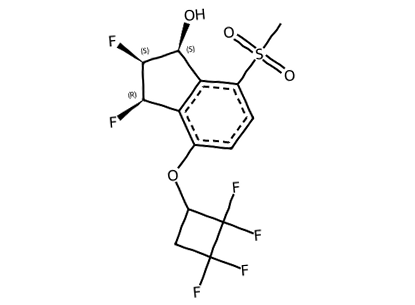 CS(=O)(=O)c1ccc(OC2CC(F)(F)C2(F)F)c2c1[C@H](O)[C@H](F)[C@@H]2F